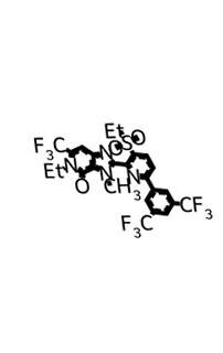 CCn1c(C(F)(F)F)cc2nc(-c3nc(-c4cc(C(F)(F)F)cc(C(F)(F)F)c4)ccc3S(=O)(=O)CC)n(C)c2c1=O